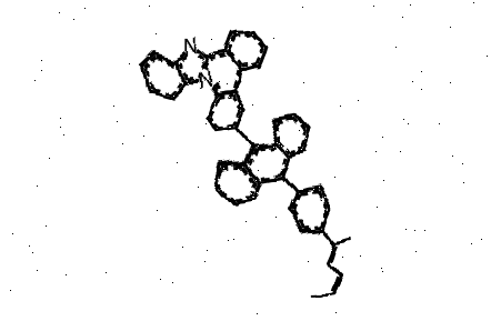 C/C=C\C=C(/C)c1ccc(-c2c3ccccc3c(-c3ccc4c(c3)c3ccccc3c3nc5ccccc5n43)c3ccccc23)cc1